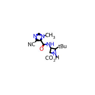 Cn1cnc(C#N)c1C(=O)NC1CN(C(=O)O)C1C(C)(C)C